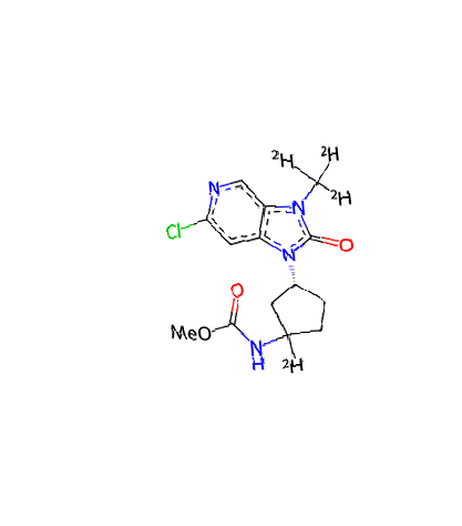 [2H]C1(NC(=O)OC)CC[C@@H](n2c(=O)n(C([2H])([2H])[2H])c3cnc(Cl)cc32)C1